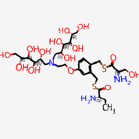 CC[C@H](N)C(=O)SCc1cc(OCCN(C[C@H](O)[C@@H](O)[C@H](O)[C@H](O)CO)C[C@H](O)[C@@H](O)[C@H](O)[C@H](O)CO)ccc1CSC(=O)[C@@H](N)CO